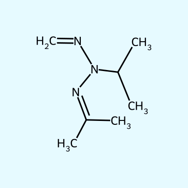 C=NN(N=C(C)C)C(C)C